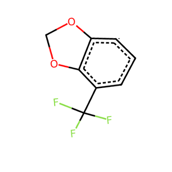 FC(F)(F)c1cc[c]c2c1OCO2